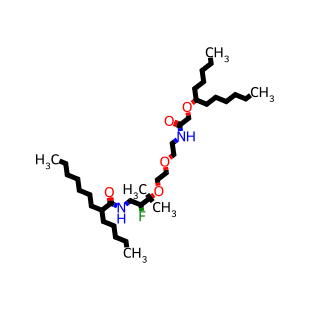 CCCCCCCC(CCCCC)C(=O)NCC(F)C(C)(C)OCCOCCNC(=O)COC(CCCCC)CCCCCC